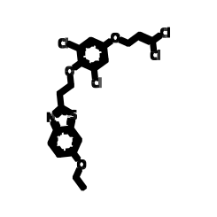 CCOc1ccc2nc(CCOc3c(Cl)cc(OCC=C(Cl)Cl)cc3Cl)sc2c1